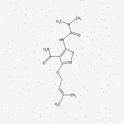 CC(C)=CCOc1nsc(NC(=O)N(C)C)c1C(N)=O